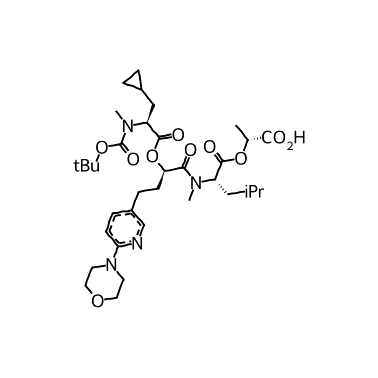 CC(C)C[C@@H](C(=O)O[C@H](C)C(=O)O)N(C)C(=O)[C@@H](CCc1ccc(N2CCOCC2)nc1)OC(=O)[C@H](CC1CC1)N(C)C(=O)OC(C)(C)C